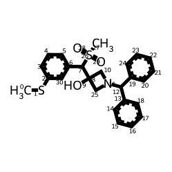 CSc1cccc(C(C2(O)CN(C(c3ccccc3)c3ccccc3)C2)S(C)(=O)=O)c1